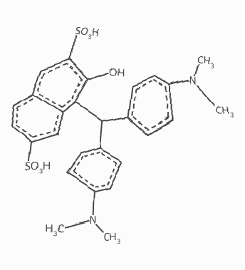 CN(C)c1ccc(C(c2ccc(N(C)C)cc2)c2c(O)c(S(=O)(=O)O)cc3ccc(S(=O)(=O)O)cc23)cc1